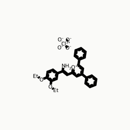 CCOc1ccc(C(N)=Cc2cc(-c3ccccc3)cc(-c3ccccc3)[o+]2)cc1OCC.[O-][Cl+3]([O-])([O-])[O-]